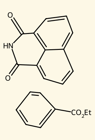 CCOC(=O)c1ccccc1.O=C1NC(=O)c2cccc3cccc1c23